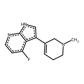 CN1CCC=C(c2c[nH]c3nccc(F)c23)C1